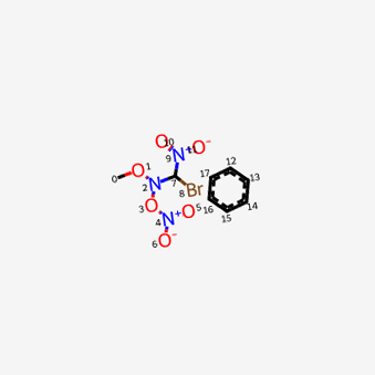 CON(O[N+](=O)[O-])C(Br)[N+](=O)[O-].c1ccccc1